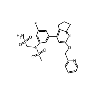 CS(=O)(=O)N(CS(N)(=O)=O)c1cc(F)cc(-c2cc(OCc3ccccn3)nc3c2CCC3)c1